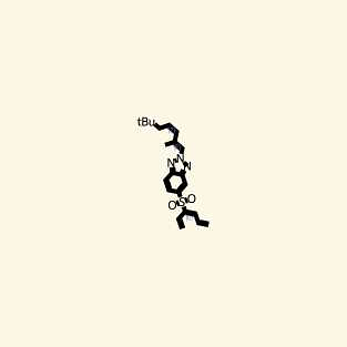 C=C/C=C(\C=C)S(=O)(=O)c1ccc2nn(/C=C(C)/C=C\CC(C)(C)C)nc2c1